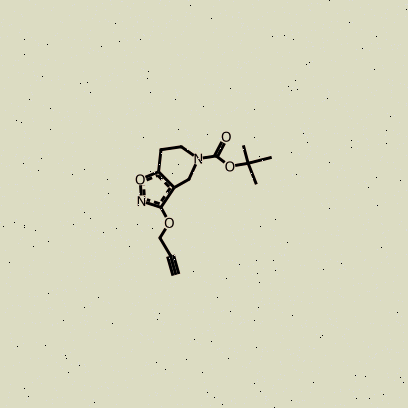 C#CCOc1noc2c1CN(C(=O)OC(C)(C)C)CC2